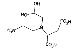 NCCN(CC(O)O)C(CC(=O)O)C(=O)O